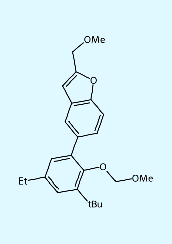 CCc1cc(-c2ccc3oc(COC)cc3c2)c(OCOC)c(C(C)(C)C)c1